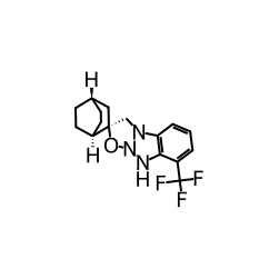 FC(F)(F)c1cccc2c1NN1O[C@]3(CN21)C[C@H]1CC[C@H]3CC1